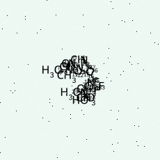 Cn1c(=O)n(CC(C)(C)C)c2ccc(-c3cc(CN4CC[C@H](N(C(=O)O)C(C)(C)C)C[C@H]4C(F)(F)F)ccc3C#N)nc21